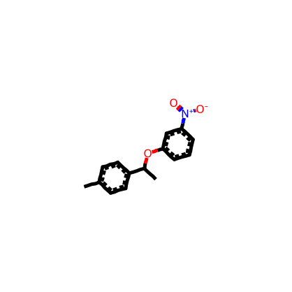 Cc1ccc(C(C)Oc2cccc([N+](=O)[O-])c2)cc1